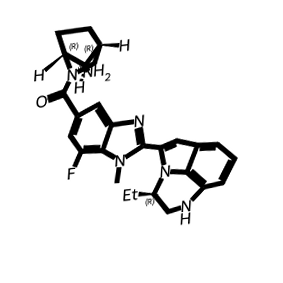 CC[C@@H]1CNc2cccc3cc(-c4nc5cc(C(=O)N6C[C@H]7CC[C@@H]6[C@@H]7N)cc(F)c5n4C)n1c23